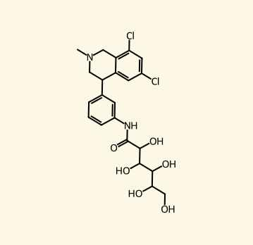 CN1Cc2c(Cl)cc(Cl)cc2C(c2cccc(NC(=O)C(O)C(O)C(O)C(O)CO)c2)C1